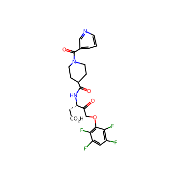 O=C(O)C[C@H](NC(=O)C1CCN(C(=O)c2cccnc2)CC1)C(=O)COc1c(F)c(F)cc(F)c1F